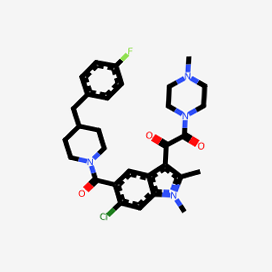 Cc1c(C(=O)C(=O)N2CCN(C)CC2)c2cc(C(=O)N3CCC(Cc4ccc(F)cc4)CC3)c(Cl)cc2n1C